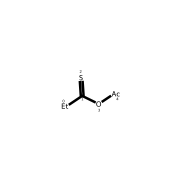 CCC(=S)OC(C)=O